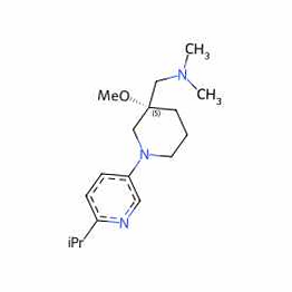 CO[C@]1(CN(C)C)CCCN(c2ccc(C(C)C)nc2)C1